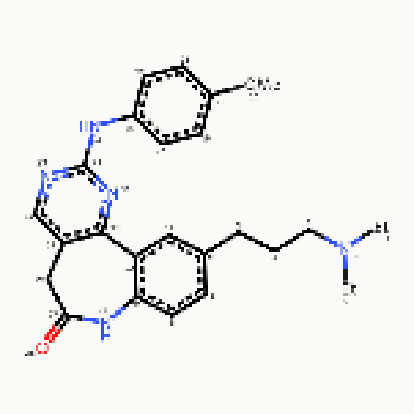 CCN(CC)CCCc1ccc2c(c1)-c1nc(Nc3ccc(OC)cc3)ncc1CC(=O)N2